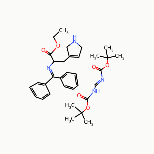 CC(C)(C)OC(=O)N=CNC(=O)OC(C)(C)C.CCOC(=O)C(CC1=CCNC1)N=C(c1ccccc1)c1ccccc1